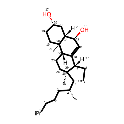 CC(C)CCC[C@@H](C)[C@H]1CC[C@H]2C3=C[C@H](O)[C@H]4C[C@@H](O)CC[C@]4(C)[C@H]3CC[C@]12C